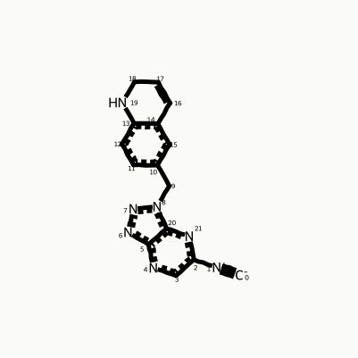 [C-]#[N+]c1cnc2nnn(Cc3ccc4c(c3)C=CCN4)c2n1